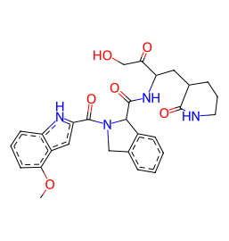 COc1cccc2[nH]c(C(=O)N3Cc4ccccc4C3C(=O)NC(CC3CCCNC3=O)C(=O)CO)cc12